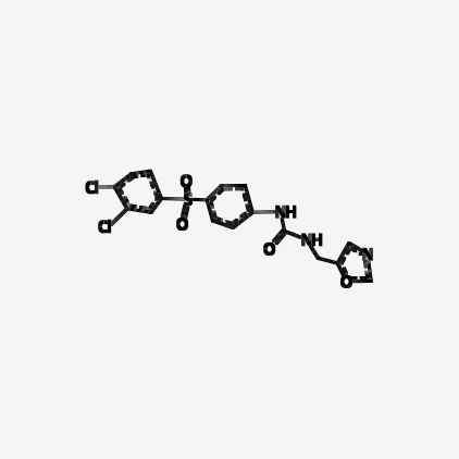 O=C(NCc1cnco1)Nc1ccc(S(=O)(=O)c2ccc(Cl)c(Cl)c2)cc1